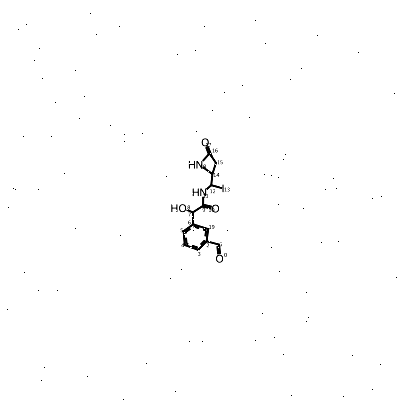 O=Cc1cccc(C(O)C(=O)NC(I)C2CC(=O)N2)c1